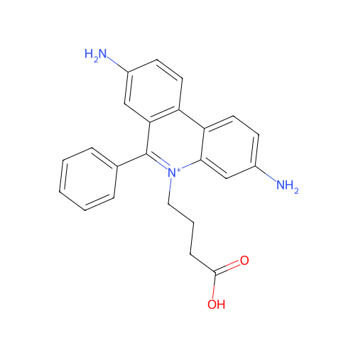 Nc1ccc2c(c1)c(-c1ccccc1)[n+](CCCC(=O)O)c1cc(N)ccc21